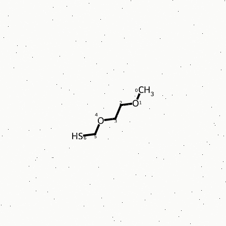 COCCOCS